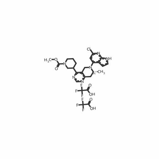 COC(=O)N1CCCC(c2ncnc3c2CN(c2cc(Cl)nc4[nH]ccc24)[C@H](C)C3)C1.O=C(O)C(F)(F)F.O=C(O)C(F)(F)F